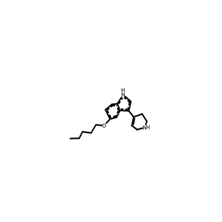 CCCCCOc1ccc2[nH]cc(C3=CCNCC3)c2c1